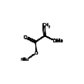 C=C(OC)C(=O)OCCCC